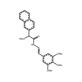 COc1cc(/C=N/NC(=O)C(OC)c2ccc3ccccc3c2)cc(OC)c1OC